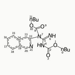 CCCCOC(=O)NC(=N)N(C(=O)OCCCC)c1cc2ccccc2cn1